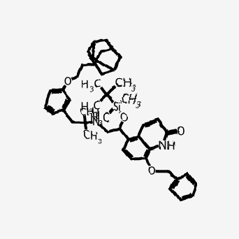 CC(C)(Cc1cccc(OCCC23CC4CC(CC(C4)C2)C3)c1)NCC(O[Si](C)(C)C(C)(C)C)c1ccc(OCc2ccccc2)c2[nH]c(=O)ccc12